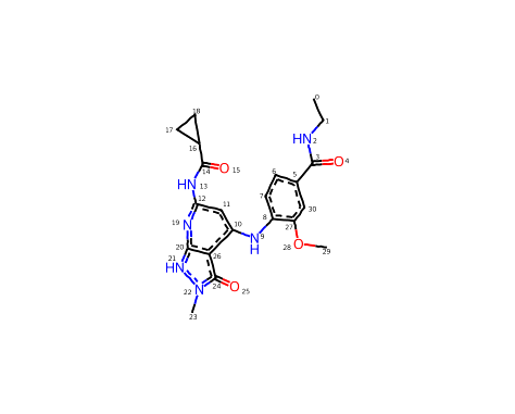 CCNC(=O)c1ccc(Nc2cc(NC(=O)C3CC3)nc3[nH]n(C)c(=O)c23)c(OC)c1